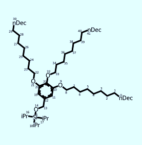 CCCCCCCCCCCCCCCCCCOc1cc(CO[Si](C(C)C)(C(C)C)C(C)C)cc(OCCCCCCCCCCCCCCCCCC)c1OCCCCCCCCCCCCCCCCCC